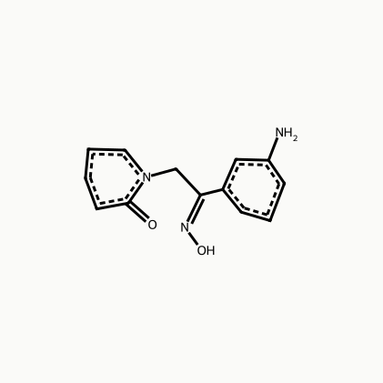 Nc1cccc(C(Cn2ccccc2=O)=NO)c1